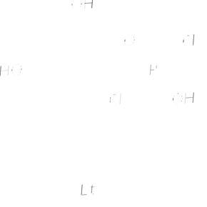 CCC#CC(O)CO.O=P(O)(Cl)Cl